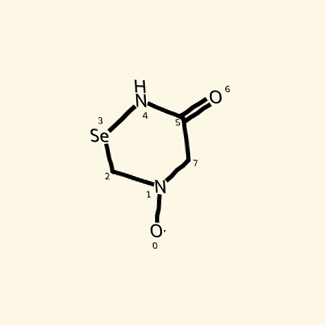 [O]N1C[Se]NC(=O)C1